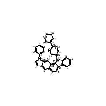 c1ccc(-n2ccc3cc4ccc5c6ccccc6n(-c6cnc(-c7cccnc7)nc6)c5c4cc32)cc1